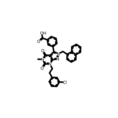 Cn1c(=O)c2c(-c3cccc(C(=O)O)c3)n(Cc3cccc4ccccc34)nc2n(CCc2cccc(Cl)c2)c1=O